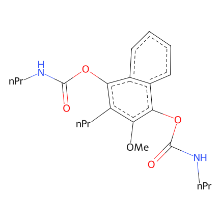 CCCNC(=O)Oc1c(CCC)c(OC)c(OC(=O)NCCC)c2ccccc12